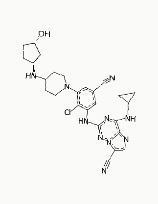 N#Cc1cc(Nc2nc(NC3CC3)c3ncc(C#N)n3n2)c(Cl)c(N2CCC(N[C@H]3CC[C@H](O)C3)CC2)c1